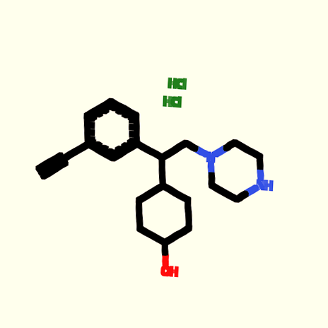 C#Cc1cccc(C(CN2CCNCC2)C2CCC(O)CC2)c1.Cl.Cl